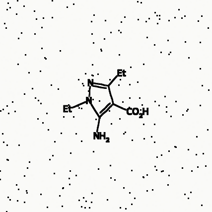 CCc1nn(CC)c(N)c1C(=O)O